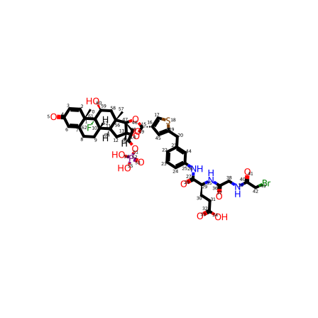 C[C@]12C=CC(=O)C=C1CC[C@H]1[C@@H]3C[C@H]4O[C@@H](c5csc(Cc6cccc(NC(=O)[C@H](CCC(=O)O)NC(=O)CNC(=O)CBr)c6)c5)O[C@@]4(C(=O)COP(=O)(O)O)[C@@]3(C)C[C@H](O)[C@@]12F